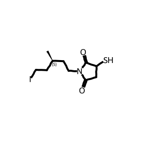 C[C@H](CCI)CCN1C(=O)CC(S)C1=O